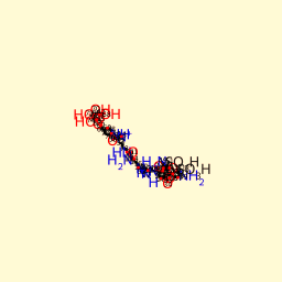 C[N+](C)(C)[C@@H](CCCCNC(=O)[C@@H](N)CCCCn1cc(CNC(=O)c2ccc3c(c2)C2(OC3=O)c3ccc(N)c(S(=O)(=O)O)c3Oc3c2ccc(N)c3S(=O)(=O)O)nn1)C(=O)Nc1ccc(CCO[C@@H]2O[C@H](CO)[C@@H](O)[C@H](O)[C@H]2O)cc1